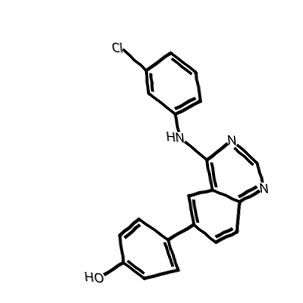 Oc1ccc(-c2ccc3ncnc(Nc4cccc(Cl)c4)c3c2)cc1